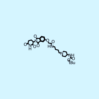 CC(C)(C)OC(=O)NC1CCN(CCCCNC(=O)COc2ccc3c(c2)C(=O)N(C2CCC(=O)NC2=O)C3=O)CC1